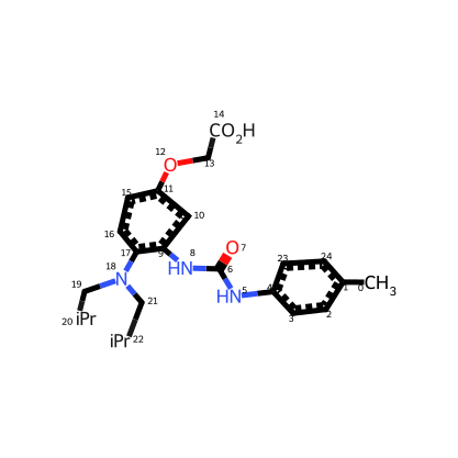 Cc1ccc(NC(=O)Nc2cc(OCC(=O)O)ccc2N(CC(C)C)CC(C)C)cc1